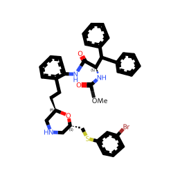 COC(=O)N[C@H](C(=O)Nc1ccccc1CC[C@@H]1CNC[C@@H](CSc2cccc(Br)c2)O1)C(c1ccccc1)c1ccccc1